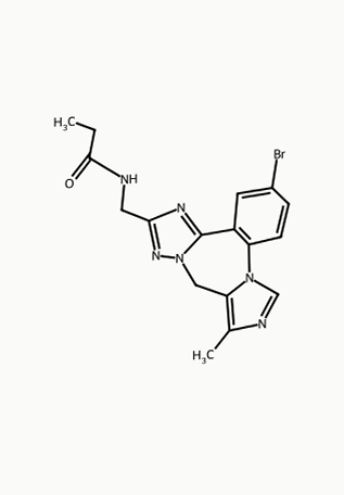 CCC(=O)NCc1nc2n(n1)Cc1c(C)ncn1-c1ccc(Br)cc1-2